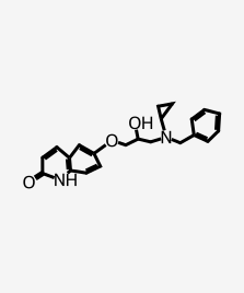 O=c1ccc2cc(OCC(O)CN(Cc3ccccc3)C3CC3)ccc2[nH]1